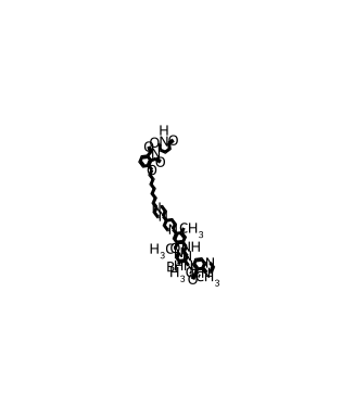 COc1cc(N2CCC(N3CCN(CCCCCCCOc4cccc5c4C(=O)N(C4CCC(=O)NC4=O)C5=O)CC3)CC2)c(C)cc1Nc1ncc(Br)c(Nc2ccc3nccnc3c2P(C)(C)=O)n1